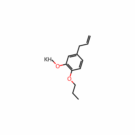 C=CCc1ccc(OCCC)c(OC)c1.[KH]